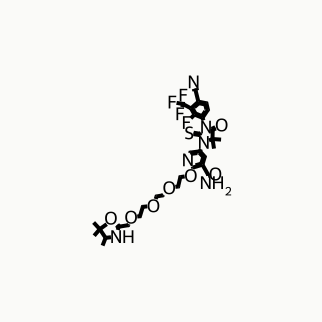 CC(NC(=O)COCCOCCOCCOc1ncc(N2C(=S)N(c3ccc(C#N)c(C(F)(F)F)c3F)C(=O)C2(C)C)cc1C(N)=O)C(C)(C)C